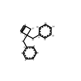 C1#CC(Cc2ccccc2)(Cc2ccccc2)C1